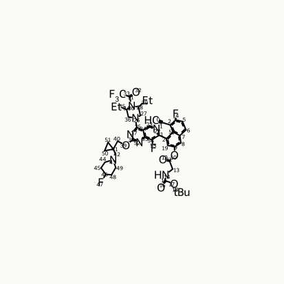 C#Cc1c(F)ccc2cc(OC(=O)CNC(=O)OC(C)(C)C)cc(-c3ncc4c(N5CC(CC)N(C(=O)C(F)(F)F)C(CC)C5)nc(OCC5(CN6CCC(F)CC6)CC5)nc4c3F)c12